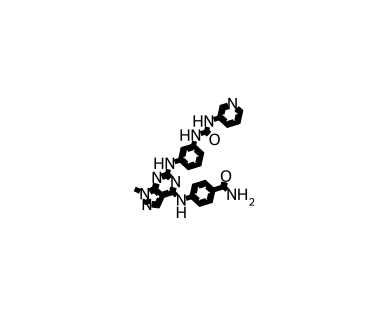 Cn1ncc2c(Nc3ccc(C(N)=O)cc3)nc(Nc3cccc(NC(=O)Nc4cccnc4)c3)nc21